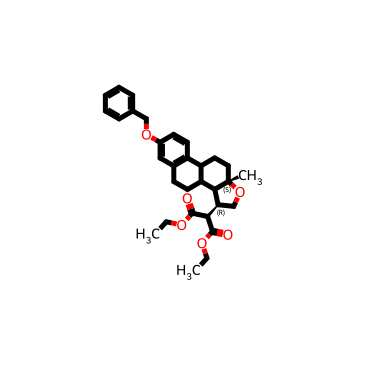 CCOC(=O)C(C(=O)OCC)[C@@H]1CO[C@@]2(C)CCC3c4ccc(OCc5ccccc5)cc4CCC3C12